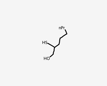 CCCCCCC(S)CO